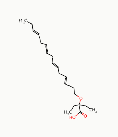 CCC=CCC=CCC=CCC=CCCOC(CC)(CC)C(=O)O